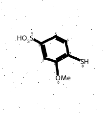 COc1cc(S(=O)(=O)O)ccc1S